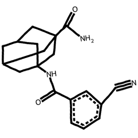 N#Cc1cccc(C(=O)NC23CC4CC(C2)CC(C(N)=O)(C4)C3)c1